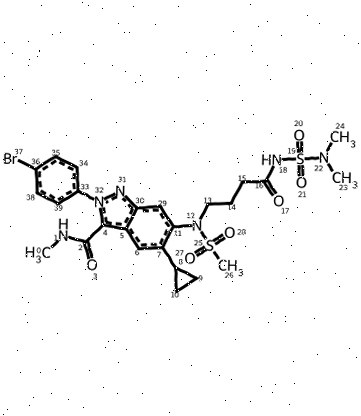 CNC(=O)c1c2cc(C3CC3)c(N(CCCC(=O)NS(=O)(=O)N(C)C)S(C)(=O)=O)cc2nn1-c1ccc(Br)cc1